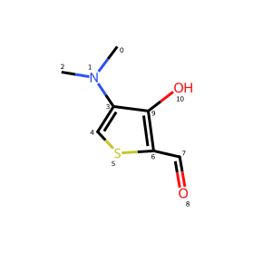 CN(C)c1csc(C=O)c1O